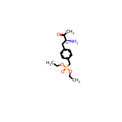 CCOP(=O)(Cc1ccc(C[C@H](N)C(C)=O)cc1)OCC